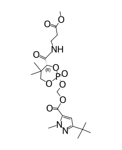 COC(=O)CCNC(=O)[C@@H]1OP(=O)(OCOC(=O)c2cc(C(C)(C)C)nn2C)OCC1(C)C